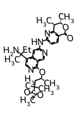 CCC(C)(N)c1cnc(O[C@@H](C)CC(C)(C)S(C)(=O)=O)c2cnc(Nc3ccc4c(n3)[C@@H](C)[C@H](C)OC4=O)cc12